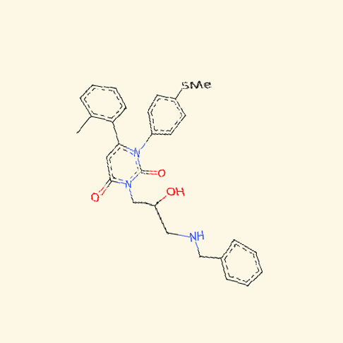 CSc1ccc(-n2c(-c3ccccc3C)cc(=O)n(CC(O)CNCc3ccccc3)c2=O)cc1